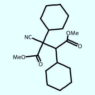 COC(=O)C(C1CCCCC1)C(C#N)(C(=O)OC)C1CCCCC1